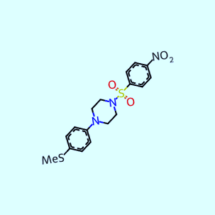 CSc1ccc(N2CCN(S(=O)(=O)c3ccc([N+](=O)[O-])cc3)CC2)cc1